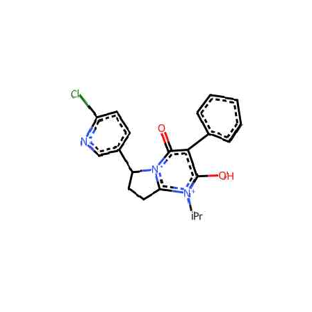 CC(C)[n+]1c(O)c(-c2ccccc2)c(=O)n2c1CCC2c1ccc(Cl)nc1